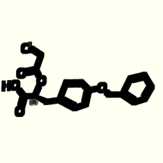 O=C(CCl)O[C@@H](Cc1ccc(OCc2ccccc2)cc1)C(=O)O